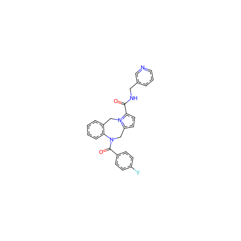 O=C(NCc1cccnc1)c1ccc2n1Cc1ccccc1N(C(=O)c1ccc(F)cc1)C2